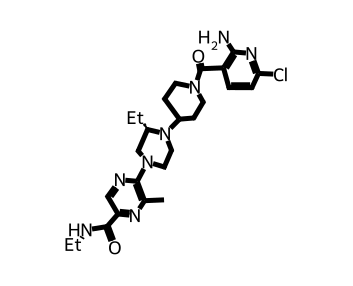 CCNC(=O)c1cnc(N2CCN(C3CCN(C(=O)c4ccc(Cl)nc4N)CC3)[C@@H](CC)C2)c(C)n1